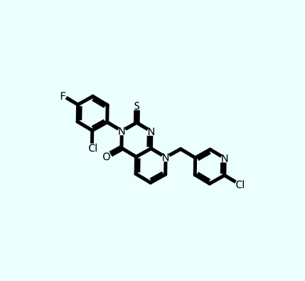 O=c1c2cccn(Cc3ccc(Cl)nc3)c-2nc(=S)n1-c1ccc(F)cc1Cl